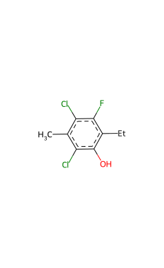 CCc1c(O)c(Cl)c(C)c(Cl)c1F